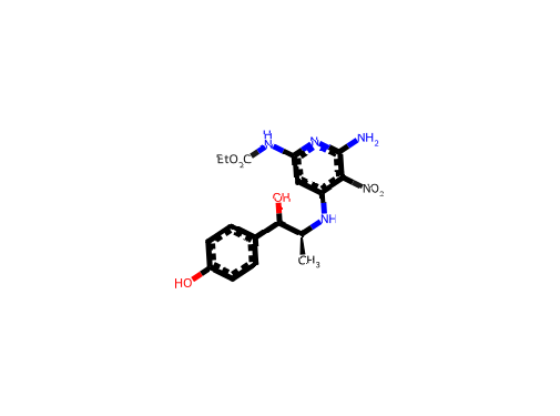 CCOC(=O)Nc1cc(N[C@@H](C)C(O)c2ccc(O)cc2)c([N+](=O)[O-])c(N)n1